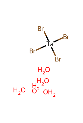 O.O.O.O.O.[Br][Ta]([Br])([Br])[Br]